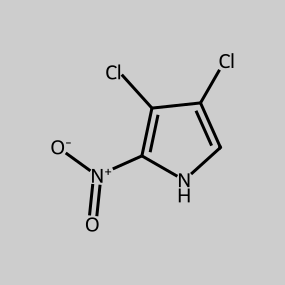 O=[N+]([O-])c1[nH]cc(Cl)c1Cl